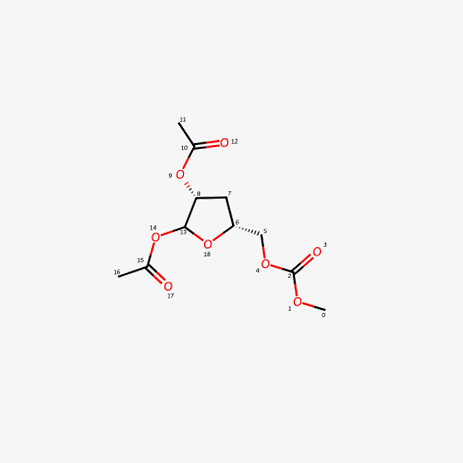 COC(=O)OC[C@H]1C[C@@H](OC(C)=O)C(OC(C)=O)O1